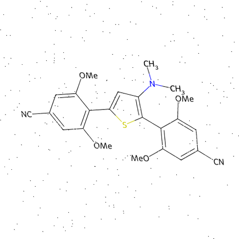 COc1cc(C#N)cc(OC)c1-c1cc(N(C)C)c(-c2c(OC)cc(C#N)cc2OC)s1